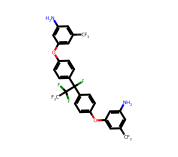 Nc1cc(Oc2ccc(C(F)(c3ccc(Oc4cc(N)cc(C(F)(F)F)c4)cc3)C(F)(F)C(F)(F)F)cc2)cc(C(F)(F)F)c1